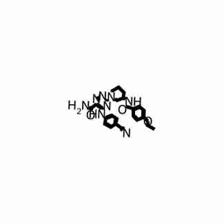 CCOc1ccc(C(=O)NC2CCCN(c3nnc(C(N)=O)c(Nc4ccc(C#N)cc4)n3)C2)cc1